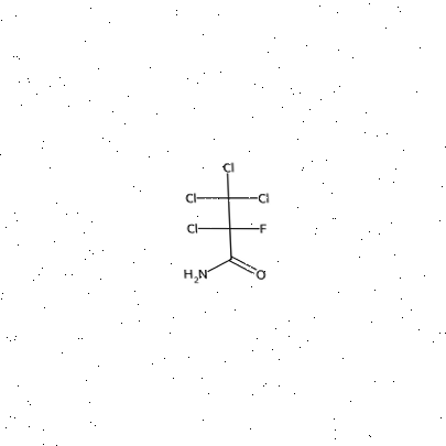 NC(=O)C(F)(Cl)C(Cl)(Cl)Cl